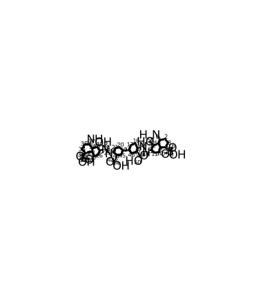 Nc1ccc(S(=O)(=O)O)c2ccc(N=Nc3ccc(-c4ccc(N=Nc5ccc6c(S(=O)(=O)O)ccc(N)c6c5O)c(C(=O)O)c4)cc3C(=O)O)c(O)c12